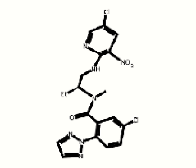 CC[C@@H](CNc1ncc(Cl)cc1[N+](=O)[O-])N(C)C(=O)c1cc(Cl)ccc1-n1nccn1